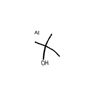 CC(C)(C)O.[Al]